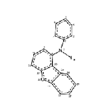 IN(c1ccccc1)c1cccc2oc3ccccc3c12